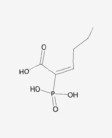 CCC/C=C(\C(=O)O)P(=O)(O)O